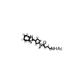 CC(=O)NCCCC(=O)N(C)C1CCC(c2nc3ccccc3s2)C1